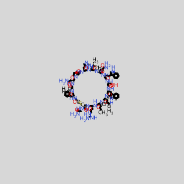 CCCC[C@H]1C(=O)N(C)[C@@H](CCCC)C(=O)N[C@@H](CCCNC(=N)N)C(=O)N[C@H](C(=O)NCC(N)=O)CSCC(=O)N[C@@H](Cc2ccccc2)C(=O)N(C)[C@@H](C)C(=O)N[C@@H](CC(N)=O)C(=O)N2CCC[C@H]2C(=O)N[C@@H](Cc2cnc[nH]2)C(=O)N[C@@H](CC(C)C)C(=O)N[C@@H](CCC(N)=O)C(=O)N[C@@H](CCc2c[nH]c3ccccc23)C(=O)N[C@@H](CO)C(=O)N[C@@H](Cc2c[nH]c3ccccc23)C(=O)N1C